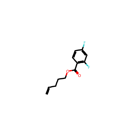 C=CCCCOC(=O)c1ccc(F)cc1F